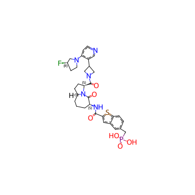 O=C(N[C@H]1CCC[C@H]2CC[C@@H](C(=O)N3CC(c4cnccc4N4CC[C@@H](F)C4)C3)N2C1=O)c1cc2cc(CP(=O)(O)O)ccc2s1